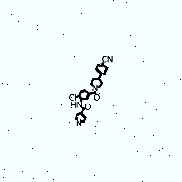 N#Cc1ccc(C2CCN(C(=O)c3ccc(Cl)c(NC(=O)c4ccncc4)c3)CC2)cc1